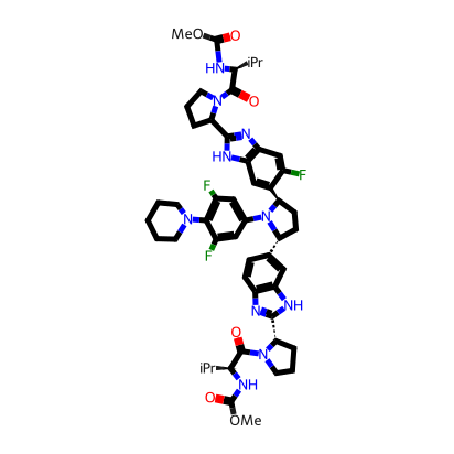 COC(=O)N[C@H](C(=O)N1CCCC1c1nc2cc(F)c([C@H]3CC[C@H](c4ccc5nc([C@@H]6CCCN6C(=O)[C@@H](NC(=O)OC)C(C)C)[nH]c5c4)N3c3cc(F)c(N4CCCCC4)c(F)c3)cc2[nH]1)C(C)C